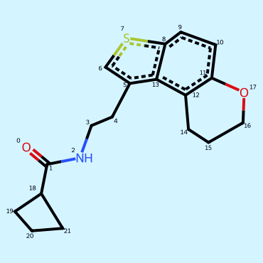 O=C(NCCc1csc2ccc3c(c12)CCCO3)C1CCC1